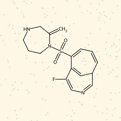 C=C1CNCCCN1S(=O)(=O)C1=CC=CC2C=NC=C(F)C1=C2